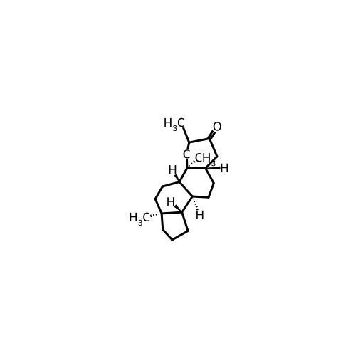 CC1C[C@@]2(C)[C@@H](CC[C@H]3[C@@H]4CCC[C@@]4(C)CC[C@@H]32)CC1=O